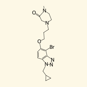 CN1CCN(CCCOc2ccc3c(nnn3CC3CC3)c2Br)CC1=O